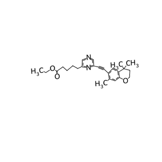 CCOC(=O)CCCCc1cncc(C#Cc2cc3c(cc2C)OCCC3(C)C)n1